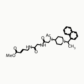 COC(=O)/C=C/CNC(=O)CNC(=O)CN(C(C)=O)C1CCN(C(C)c2cccc3ccccc23)CC1